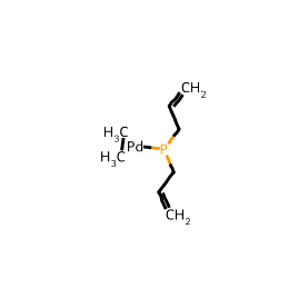 C=CC[P]([Pd])CC=C.CC